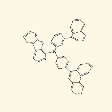 c1cc(-c2cccc3ccccc23)cc(N(c2ccc(-c3cc4ccccc4c4ccccc34)cc2)c2cccc3c2sc2ccccc23)c1